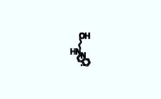 OCCCCNc1ccc2[c]cccc2n1